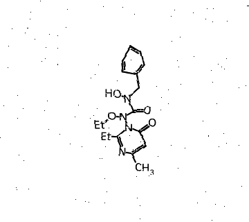 CCON(C(=O)N(O)Cc1ccccc1)n1c(CC)nc(C)cc1=O